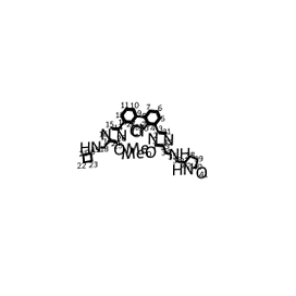 COc1nc(-c2cccc(-c3cccc(-c4cnc(CNC5CCC5)c(OC)n4)c3Cl)c2Cl)cnc1CNCC1CCC(=O)N1